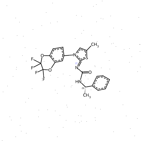 Cc1cn(-c2ccc3c(c2)OC(F)(F)C(F)(F)O3)/c(=N/C(=O)N[C@@H](C)c2ccccc2)s1